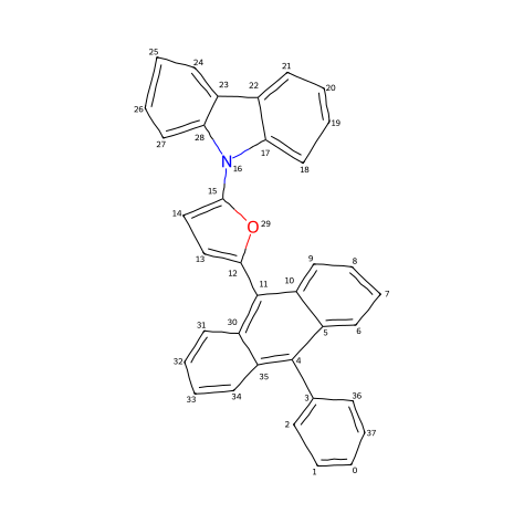 c1ccc(-c2c3ccccc3c(-c3ccc(-n4c5ccccc5c5ccccc54)o3)c3ccccc23)cc1